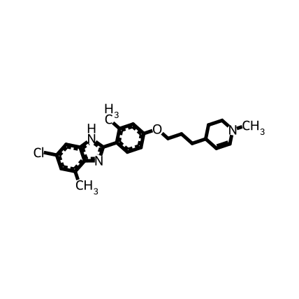 Cc1cc(OCCCC2C=CN(C)CC2)ccc1-c1nc2c(C)cc(Cl)cc2[nH]1